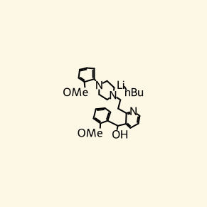 COc1ccccc1C(O)c1cccnc1CCN1CCN(c2ccccc2OC)CC1.[Li][CH2]CCC